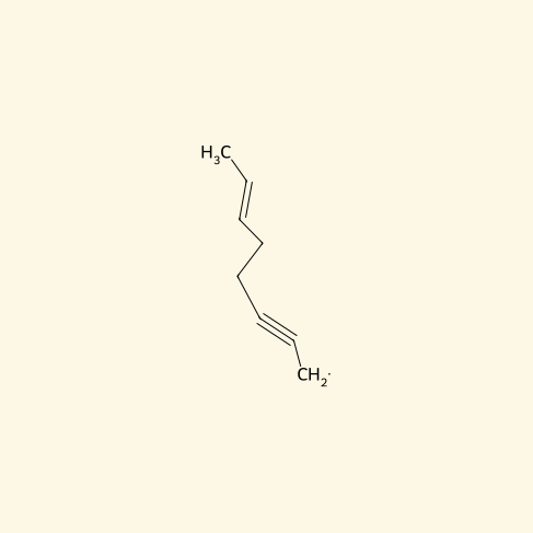 [CH2]C#CCCC=CC